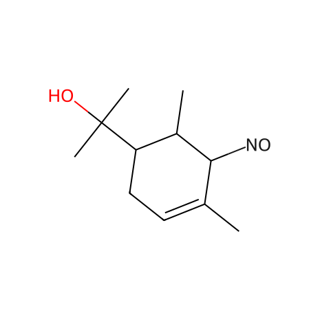 CC1=CCC(C(C)(C)O)C(C)C1N=O